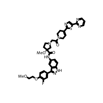 COCCOc1ccc(-c2n[nH]c3ccc(NC(=O)[C@]4(OC)CCN(CC(=O)N5CC=C(c6ncc(-c7ncccn7)s6)CC5)C4)cc23)cc1F